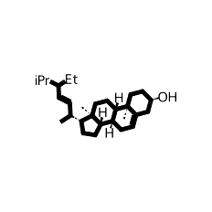 CCC(/C=C/C(C)[C@H]1CC[C@H]2[C@@H]3CC=C4C[C@@H](O)CC[C@]4(C)[C@H]3CC[C@]12C)C(C)C